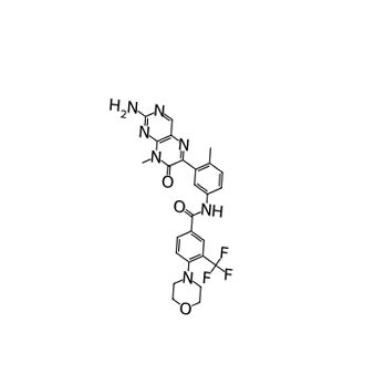 Cc1ccc(NC(=O)c2ccc(N3CCOCC3)c(C(F)(F)F)c2)cc1-c1nc2cnc(N)nc2n(C)c1=O